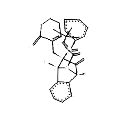 CC(C)(C)OC(=O)N1[C@@H]2C(=O)[C@@](CC3=CCCCC3=O)(S(=O)(=O)c3ccccc3)[C@H]1c1ccccc12